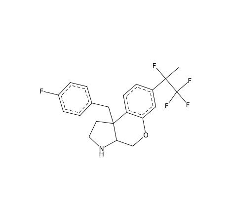 CC(F)(c1ccc2c(c1)OCC1NCCC21Cc1ccc(F)cc1)C(F)(F)F